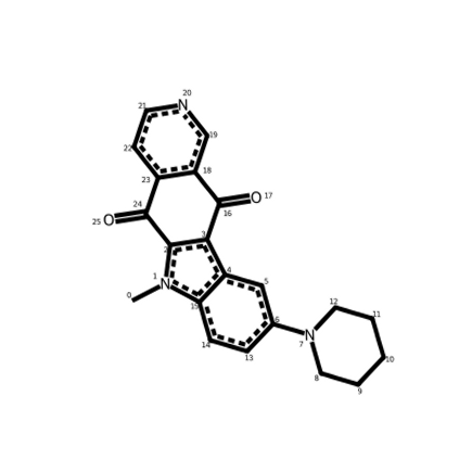 Cn1c2c(c3cc(N4CCCCC4)ccc31)C(=O)c1cnccc1C2=O